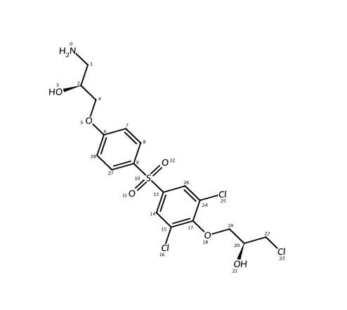 NC[C@H](O)COc1ccc(S(=O)(=O)c2cc(Cl)c(OC[C@H](O)CCl)c(Cl)c2)cc1